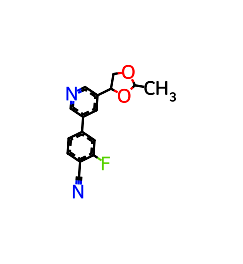 CC1OCC(c2cncc(-c3ccc(C#N)c(F)c3)c2)O1